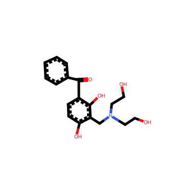 O=C(c1ccccc1)c1ccc(O)c(CN(CCO)CCO)c1O